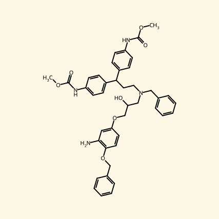 COC(=O)Nc1ccc(C(CCN(Cc2ccccc2)CC(O)COc2ccc(OCc3ccccc3)c(N)c2)c2ccc(NC(=O)OC)cc2)cc1